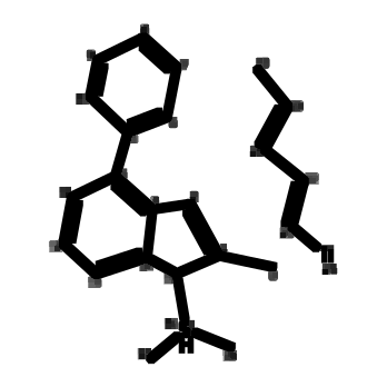 CC1=Cc2c(-c3ccccc3)cccc2C1[SiH](C)C.CC=CC=[CH][Ti]